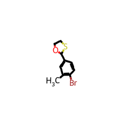 Cc1cc(C2OCCS2)ccc1Br